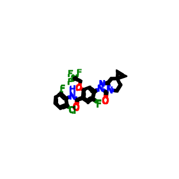 O=C(Nc1c(F)cccc1Cl)c1cc(F)c(-n2nc3n(c2=O)CCC2(CC2)C3)cc1OCC(F)(F)F